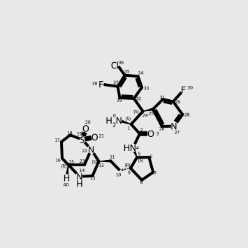 N[C@H](C(=O)N[C@H]1CCC[C@@H]1CC[C@H]1CN[C@@H]2CCCS(=O)(=O)N1C2)[C@H](c1cncc(F)c1)c1ccc(Cl)c(F)c1